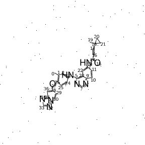 Cc1cc(Nc2ncnc3ccc(NC(=O)C#CC4(C)CC4)cc23)ccc1Oc1ccn2ncnc2c1